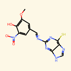 COc1cc(/C=N/c2nc(S)c3nc[nH]c3n2)cc([N+](=O)[O-])c1O